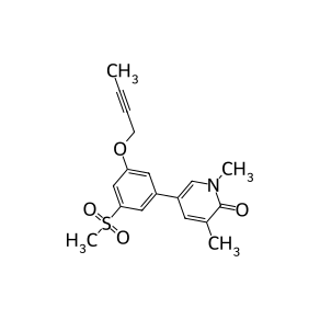 CC#CCOc1cc(-c2cc(C)c(=O)n(C)c2)cc(S(C)(=O)=O)c1